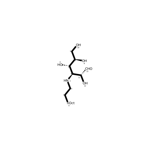 CCCCCCCCCCN[C@@H]([C@H](O)[C@H](O)CO)[C@@H](O)C=O